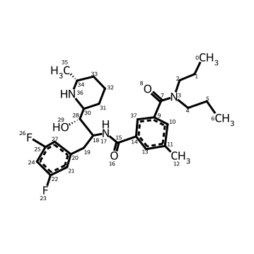 CCCN(CCC)C(=O)c1cc(C)cc(C(=O)NC(Cc2cc(F)cc(F)c2)[C@H](O)C2CCC[C@@H](C)N2)c1